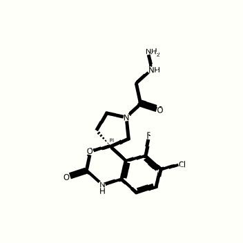 NNCC(=O)N1CC[C@@]2(C1)OC(=O)Nc1ccc(Cl)c(F)c12